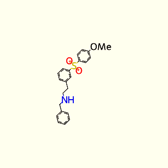 COc1ccc(S(=O)(=O)c2cccc(CCNCc3ccccc3)c2)cc1